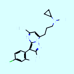 Cc1cc(CCCN(C)C2CC2)n2nc(C)c(-c3ccc(Cl)cc3C)c2n1